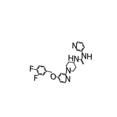 C=C(Nc1cccnc1)NC1CCN(c2cc(OCc3ccc(F)c(F)c3)ccn2)CC1